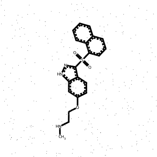 CNCCOc1ccc2c(S(=O)(=O)c3cccc4ccccc34)n[nH]c2c1